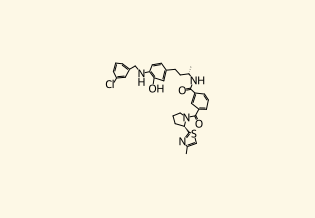 Cc1csc([C@H]2CCCN2C(=O)c2cccc(C(=O)N[C@@H](C)CCc3ccc(NCc4cccc(Cl)c4)c(O)c3)c2)n1